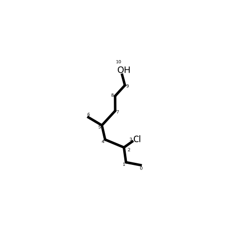 CCC(Cl)CC(C)CCCO